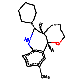 COc1ccc2c(c1)[C@H]1OCCC[C@H]1[C@@H](C1CCCCC1)N2